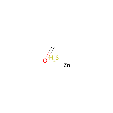 C=O.S.[Zn]